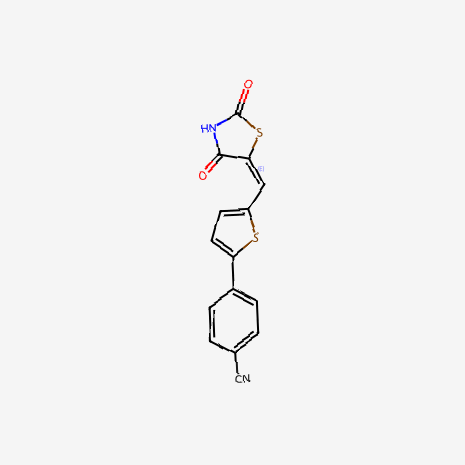 N#Cc1ccc(-c2ccc(/C=C3/SC(=O)NC3=O)s2)cc1